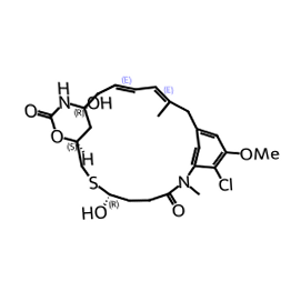 COc1cc2cc(c1Cl)N(C)C(=O)CC[C@H](O)SC[C@@H]1C[C@](O)(C/C=C/C=C(\C)C2)NC(=O)O1